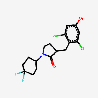 O=C1C(Cc2c(Cl)cc(O)cc2Cl)CCN1C1CCC(F)(F)CC1